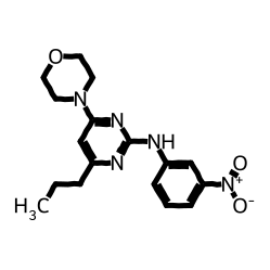 CCCc1cc(N2CCOCC2)nc(Nc2cccc([N+](=O)[O-])c2)n1